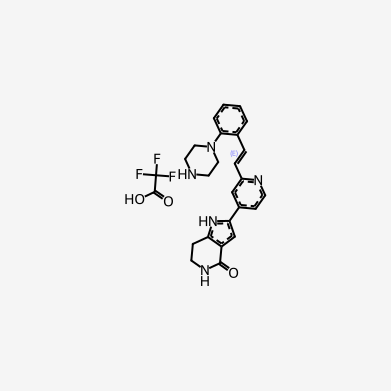 O=C(O)C(F)(F)F.O=C1NCCc2[nH]c(-c3ccnc(/C=C/c4ccccc4N4CCNCC4)c3)cc21